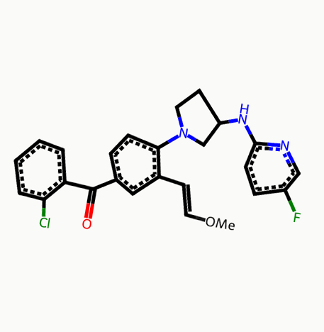 CO/C=C/c1cc(C(=O)c2ccccc2Cl)ccc1N1CCC(Nc2ccc(F)cn2)C1